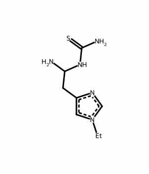 CCn1cnc(CC(N)NC(N)=S)c1